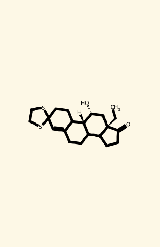 CC[C@]12C[C@@H](O)[C@H]3C4CCC5(C=C4CCC3C1CCC2=O)SCCS5